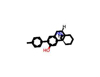 Cc1ccc(-c2cc3c(cc2O)[C@@]24CCCC[C@H]2[C@@H](C3)NCC4)cc1